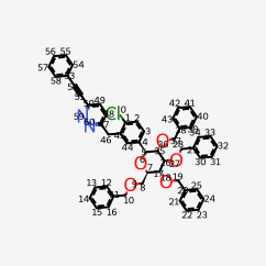 Clc1ccc([C@@H]2O[C@H](COCc3ccccc3)[C@@H](OCc3ccccc3)[C@H](OCc3ccccc3)[C@H]2OCc2ccccc2)cc1Cc1ccc(C#Cc2ccccc2)nn1